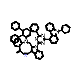 C=C1/C=C\c2c(n(-c3nc(-c4ccccc4)nc(-c4cccc5c4c4ccccc4n5C4=CC=CCC4)n3)c3ccccc23)CN(C2=CCCC(c3ccccc3)=C2c2ccccc2)c2ccccc21